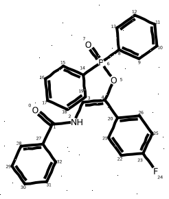 O=C(NC=C(OP(=O)(c1ccccc1)c1ccccc1)c1ccc(F)cc1)c1ccccc1